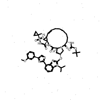 COc1cccc(-c2csc(-c3cccc4c3nc(O[C@@H]3C[C@H]5C(=O)N[C@]6(C(=O)NS(=O)(=O)C7(C)CC7)C[C@H]6/C=C\CCCCC[C@H](NC(=O)OC(C)(C)C)C(=O)N5C3)n4C(C)C)n2)c1